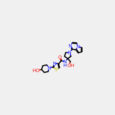 O=C(NC1(CO)CCN(c2nccn3cccc23)C1)c1csc(N2CCC(O)CC2)n1